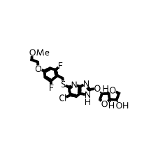 COCCOc1cc(F)c(CSc2nc3nc(O[C@@H]4CO[C@H]5[C@@H]4OC[C@H]5O)[nH]c3cc2Cl)c(F)c1